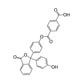 O=C(O)c1ccc(C(=O)Oc2ccc(C3(c4ccc(O)cc4)OC(=O)c4ccccc43)cc2)cc1